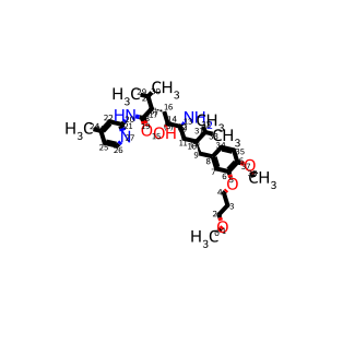 COCCCOc1cc(C[C@@H](C[C@H](N)[C@@H](O)C[C@H](C(=O)Nc2cc(C)ccn2)C(C)C)C(C)C)ccc1OC